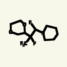 FC(N1CCCCC1)C(F)(C1COCCO1)C(F)(F)F